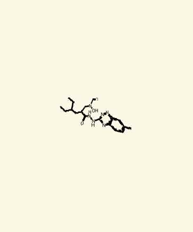 CCC(CC)CC(CN(O)C=O)C(=O)NNc1nnc2cc(C)ccc2n1